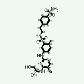 CC[C@H](CO)Nc1nc(Nc2ccc(C)c(S(=O)(=O)NCCc3ccc(S(N)(=O)=O)cc3)c2)ncc1Br